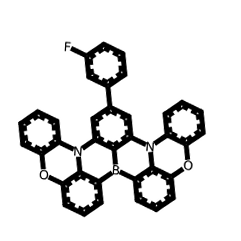 Fc1cccc(-c2cc3c4c(c2)N2c5ccccc5Oc5cccc(c52)B4c2cccc4c2N3c2ccccc2O4)c1